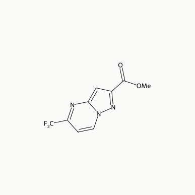 COC(=O)c1cc2nc(C(F)(F)F)ccn2n1